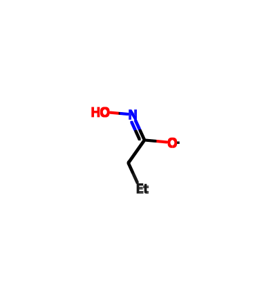 CCC/C([O])=N\O